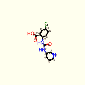 O=C(Nc1cccnc1)Nc1ccc(Cl)cc1C(=O)O